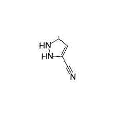 N#CC1=C[CH]NN1